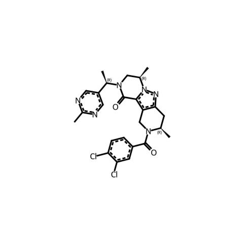 Cc1ncc([C@@H](C)N2C[C@@H](C)n3nc4c(c3C2=O)CN(C(=O)c2ccc(Cl)c(Cl)c2)[C@H](C)C4)cn1